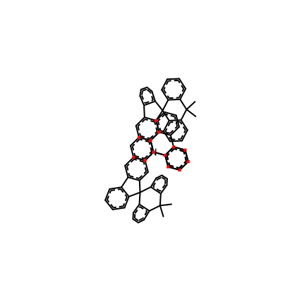 CC1(C)c2ccccc2C2(c3ccccc3-c3ccc(N(c4ccc5c(c4)C4(c6ccccc6-5)c5ccccc5C(C)(C)c5ccccc54)c4ccccc4-c4ccccc4-c4ccccc4-c4ccccc4)cc32)c2ccccc21